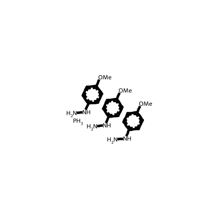 COc1ccc(NN)cc1.COc1ccc(NN)cc1.COc1ccc(NN)cc1.P